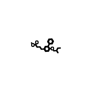 CCC(C)COc1ccc(CCCC(=O)OC)cc1-c1ccccc1